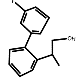 CC(CO)c1ccccc1-c1cccc(F)c1